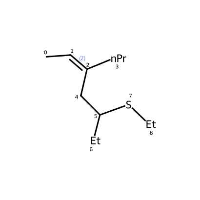 C/C=C(/CCC)CC(CC)SCC